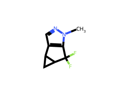 Cn1ncc2c1C(F)(F)C1CC21